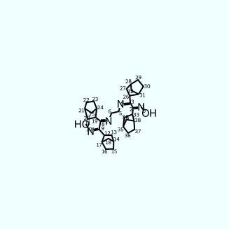 ON=C(C(=NCCN=C(C(=NO)C1CC2CCC1C2)C1CC2CCC1C2)C1CC2CCC1C2)C1CC2CCC1C2